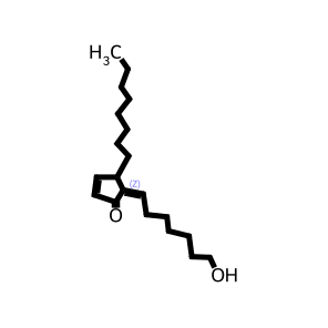 CCCCCCCCC1C=CC(=O)/C1=C\CCCCCCO